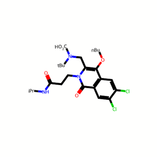 CCCCOc1c(CN(C(=O)O)C(C)(C)C)n(CCC(=O)NC(C)C)c(=O)c2cc(Cl)c(Cl)cc12